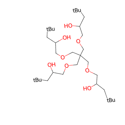 CC(C)(C)CC(O)COCC(COCC(O)CC(C)(C)C)(COCC(O)CC(C)(C)C)COCC(O)CC(C)(C)C